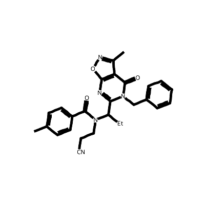 CCC(c1nc2onc(C)c2c(=O)n1Cc1ccccc1)N(CCC#N)C(=O)c1ccc(C)cc1